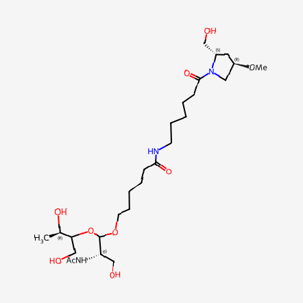 CO[C@@H]1C[C@@H](CO)N(C(=O)CCCCCNC(=O)CCCCCOC(OC(CO)[C@@H](C)O)[C@H](CO)NC(C)=O)C1